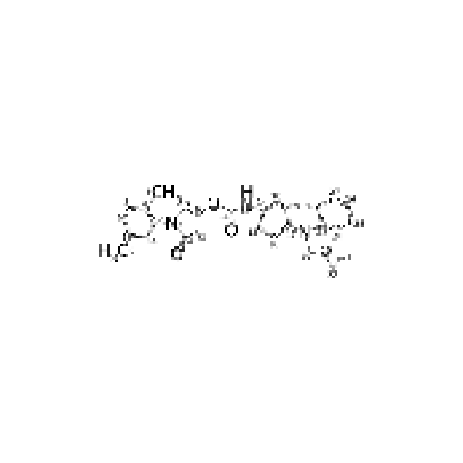 Cc1ccc(C)c(N2CC(OC(=O)Nc3ccc(N(CC4CC4)c4ccccc4)cc3)CC2=O)c1